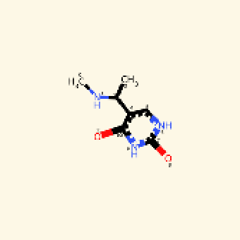 CNC(C)c1c[nH]c(=O)[nH]c1=O